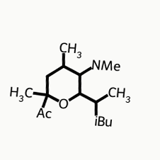 CCC(C)C(C)C1OC(C)(C(C)=O)CC(C)C1NC